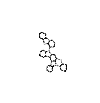 c1ccc2c(c1)Oc1cc3c(c4ccccc4n3-c3cccc4c3sc3ccccc34)c3c4ccccc4n-2c13